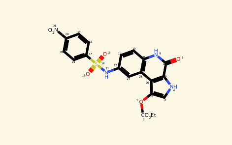 CCOC(=O)Oc1c[nH]c2c(=O)[nH]c3ccc(NS(=O)(=O)c4ccc([N+](=O)[O-])cc4)cc3c12